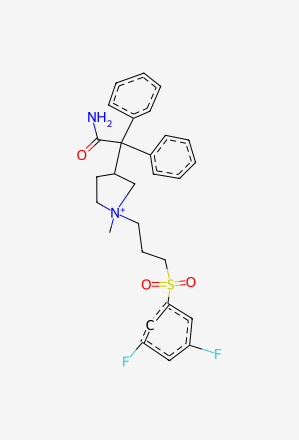 C[N+]1(CCCS(=O)(=O)c2cc(F)cc(F)c2)CCC(C(C(N)=O)(c2ccccc2)c2ccccc2)C1